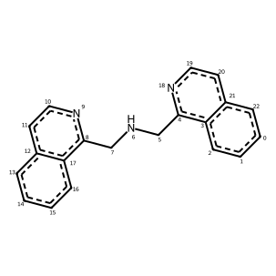 c1ccc2c(CNCc3nccc4ccccc34)nccc2c1